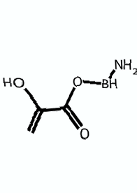 C=C(O)C(=O)OBN